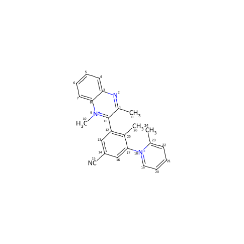 Cc1nc2ccccc2[n+](C)c1-c1cc(C#N)cc(-[n+]2ccccc2C)c1C